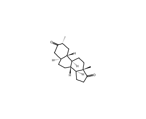 C[C@@H]1C[C@H]2[C@@H](CC[C@@H]3[C@@H]2CC[C@]2(C)C(=O)CC[C@@H]32)CC1=O